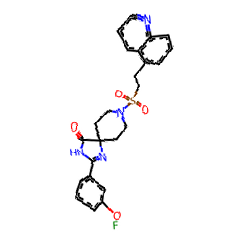 O=C1NC(c2cccc(OF)c2)=NC12CCN(S(=O)(=O)CCc1cccc3ncccc13)CC2